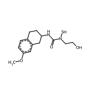 COc1ccc2c(c1)CC(NC(=O)N(S)CCO)CC2